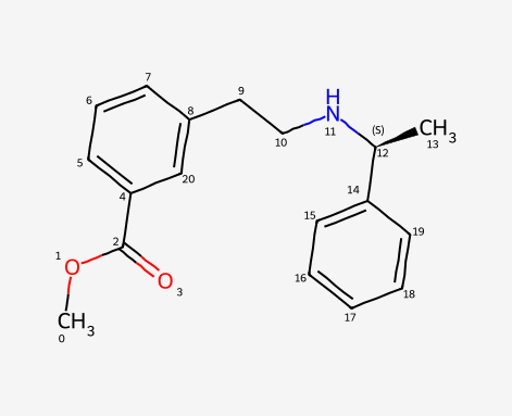 COC(=O)c1cccc(CCN[C@@H](C)c2ccccc2)c1